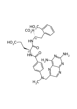 CN(Cc1cnc2nc(N)nc(N)c2n1)c1ccc(C(=O)N[C@@H](CCC(=O)O)C(=O)N[C@@H](Cc2ccccc2C(=O)O)C(=O)O)cc1